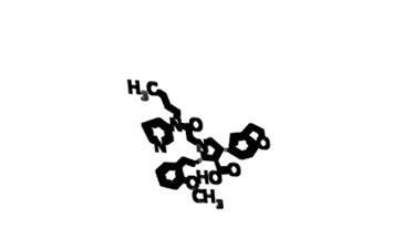 CCCCN(C(=O)CN1C[C@H](c2ccc3c(c2)CCO3)[C@@H](C(=O)O)[C@@H]1CCc1ccccc1OC)c1cccnc1